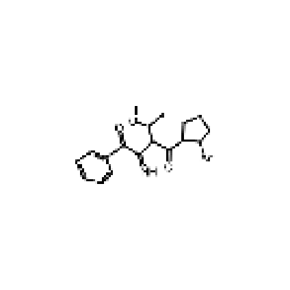 CC(=O)C1CCCC1C(=O)C(C(=N)C(=O)c1ccccc1)C(C)O